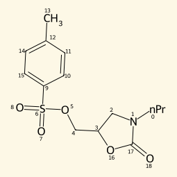 CCCN1CC(COS(=O)(=O)c2ccc(C)cc2)OC1=O